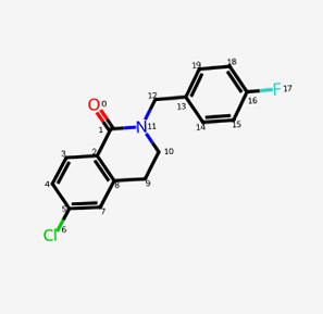 O=C1c2ccc(Cl)cc2CCN1Cc1ccc(F)cc1